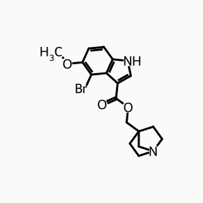 COc1ccc2[nH]cc(C(=O)OCC34CCN(CC3)C4)c2c1Br